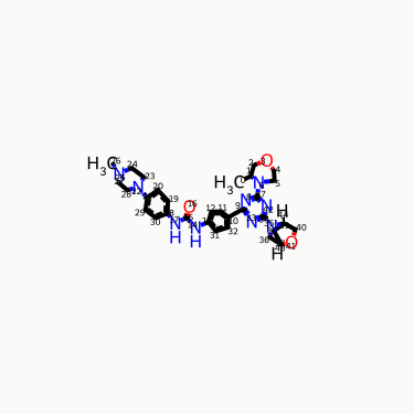 CC1COCCN1c1nc(-c2ccc(NC(=O)Nc3ccc(N4CCN(C)CC4)cc3)cc2)nc(N2C[C@@H]3C[C@H]2CO3)n1